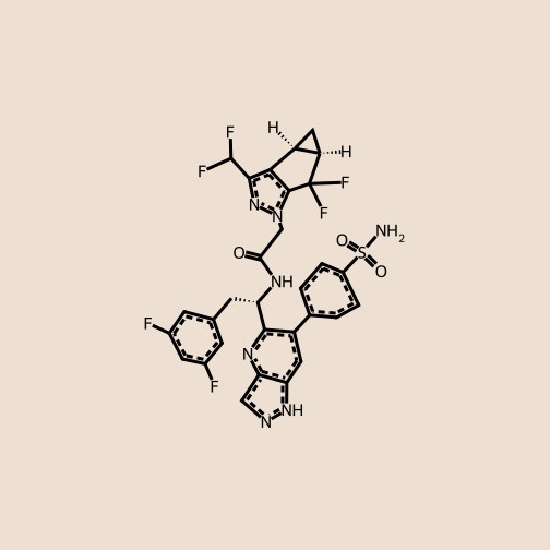 NS(=O)(=O)c1ccc(-c2cc3[nH]ncc3nc2[C@H](Cc2cc(F)cc(F)c2)NC(=O)Cn2nc(C(F)F)c3c2C(F)(F)[C@@H]2C[C@H]32)cc1